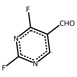 O=Cc1[c]nc(F)nc1F